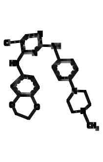 CN1CCN(c2ccc(Nc3ncc(Cl)c(Nc4ccc5c(c4)OCCO5)n3)cc2)CC1